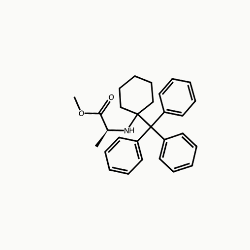 COC(=O)[C@H](C)NC1(C(c2ccccc2)(c2ccccc2)c2ccccc2)CCCCC1